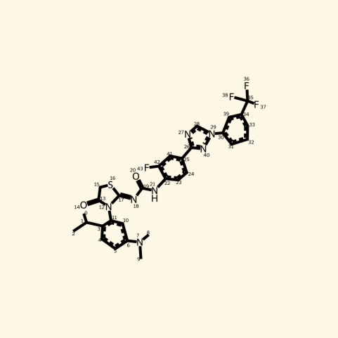 CC(C)c1ccc(N(C)C)cc1N1C(=O)CS/C1=N\C(=O)Nc1ccc(-c2ncn(-c3cccc(C(F)(F)F)c3)n2)cc1F